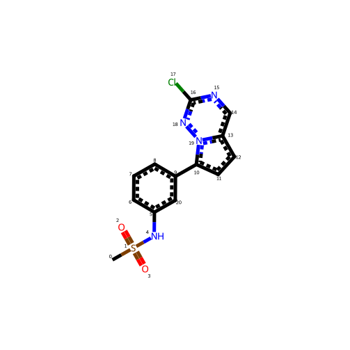 CS(=O)(=O)Nc1cccc(-c2ccc3cnc(Cl)nn23)c1